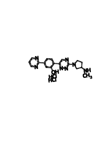 CNC1CCN(c2ncc(-c3ccc(-c4ncccn4)cc3O)nn2)C1.Cl.Cl